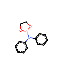 c1ccc(N(B2OCCO2)c2ccccc2)cc1